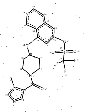 Cn1cncc1C(=O)N1CCC(Oc2cc(OS(=O)(=O)C(F)(F)F)cc3ccncc23)CC1